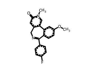 COc1ccc2c(c1)-c1cn(C)c(=O)cc1CN=C2c1ccc(F)cc1